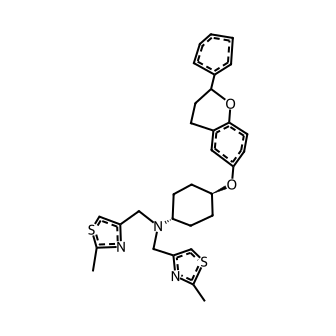 Cc1nc(CN(Cc2csc(C)n2)[C@H]2CC[C@H](Oc3ccc4c(c3)CCC(c3ccccc3)O4)CC2)cs1